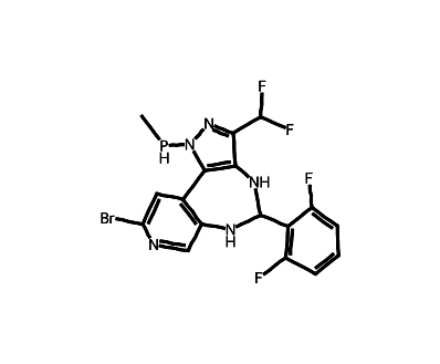 CPn1nc(C(F)F)c2c1-c1cc(Br)ncc1NC(c1c(F)cccc1F)N2